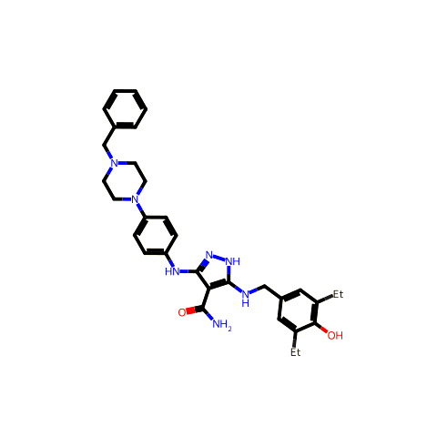 CCc1cc(CNc2[nH]nc(Nc3ccc(N4CCN(Cc5ccccc5)CC4)cc3)c2C(N)=O)cc(CC)c1O